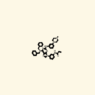 C=CC(=O)Nc1cccc(-n2cnc3c(N(Cc4ccccc4)Cc4ccccc4)nc(Nc4cccc(N5CCN(C)CC5)c4)nc32)c1